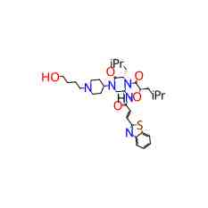 CC(C)C[C@H]1ON(C(=O)/C=C/c2nc3ccccc3s2)[C@H]2CN(C3CCN(CCCCO)CC3)C(=O)[C@H](CC(C)C)N2C1=O